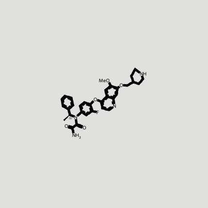 COc1cc2c(Oc3ccc(N(C(=O)C(N)=O)[C@@H](C)c4ccccc4)cc3F)ccnc2cc1OCC1CCNCC1